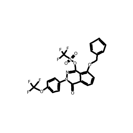 O=c1c2cccc(OCc3ccccc3)c2c(OS(=O)(=O)C(F)(F)F)nn1-c1ccc(OC(F)(F)F)cc1